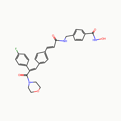 O=C(C=Cc1ccc(/C=C(/C(=O)N2CCOCC2)c2ccc(F)cc2)cc1)NCc1ccc(C(=O)NO)cc1